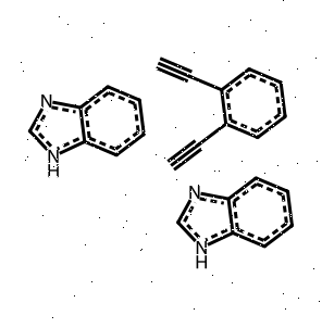 C#Cc1ccccc1C#C.c1ccc2[nH]cnc2c1.c1ccc2[nH]cnc2c1